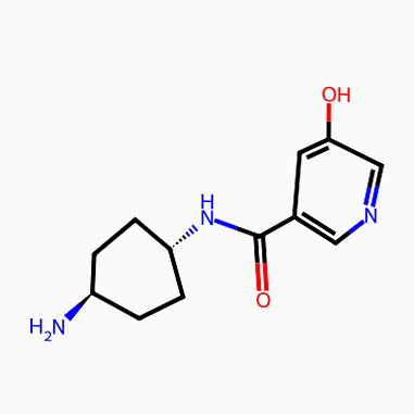 N[C@H]1CC[C@H](NC(=O)c2cncc(O)c2)CC1